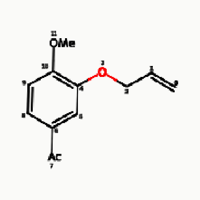 C=CCOc1cc(C(C)=O)ccc1OC